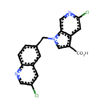 O=C(O)c1cn(Cc2ccc3ncc(Cl)cc3c2)c2cnc(Cl)cc12